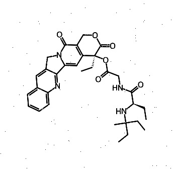 CC[C@@H](NC(C)(CC)CC)C(=O)NCC(=O)O[C@]1(CC)C(=O)OCc2c1cc1n(c2=O)Cc2cc3ccccc3nc2-1